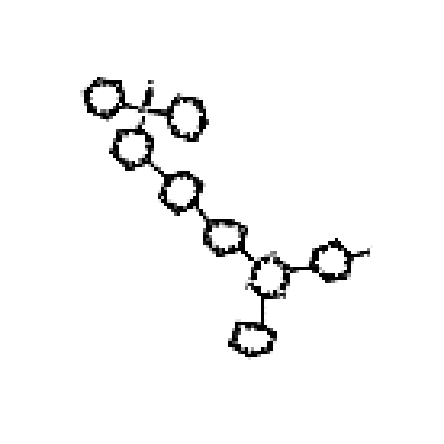 O=P(c1ccccc1)(c1ccccc1)c1cccc(-c2ccc(-c3ccc(-c4nc(-c5ccccc5)nc(-c5ccc(F)cc5)n4)cc3)cc2)c1